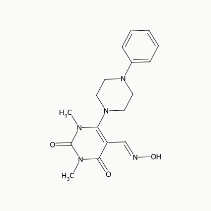 Cn1c(N2CCN(c3ccccc3)CC2)c(/C=N/O)c(=O)n(C)c1=O